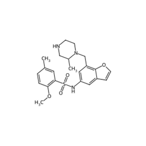 COc1ccc(C)cc1S(=O)(=O)Nc1cc(CN2CCNCC2C)c2occc2c1